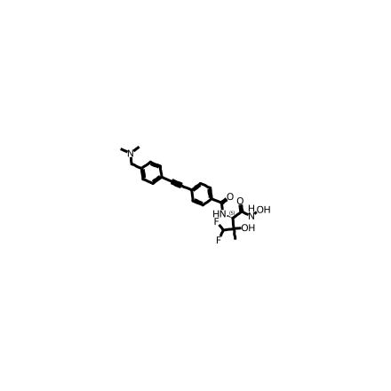 CN(C)Cc1ccc(C#Cc2ccc(C(=O)N[C@H](C(=O)NO)C(C)(O)C(F)F)cc2)cc1